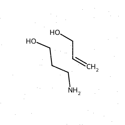 C=CCO.NCCCO